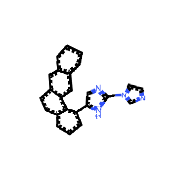 c1ccc2cc3c(ccc4cccc(-c5cnc(-n6ccnc6)[nH]5)c43)cc2c1